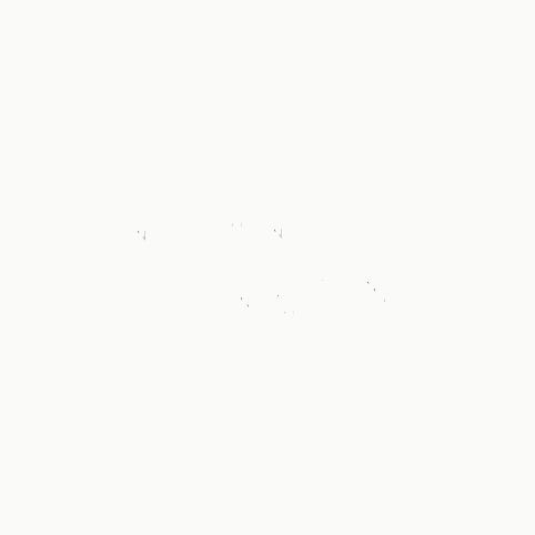 [C-]#[N+]c1ccc(C2=C3C(=O)N(CCCC)C(c4ccc(C#N)s4)=C3C(=O)N2CCCC)s1